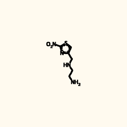 NCCNCc1csc([N+](=O)[O-])n1